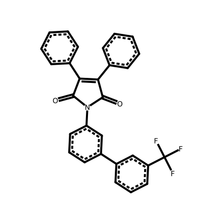 O=C1C(c2ccccc2)=C(c2ccccc2)C(=O)N1c1cccc(-c2cccc(C(F)(F)F)c2)c1